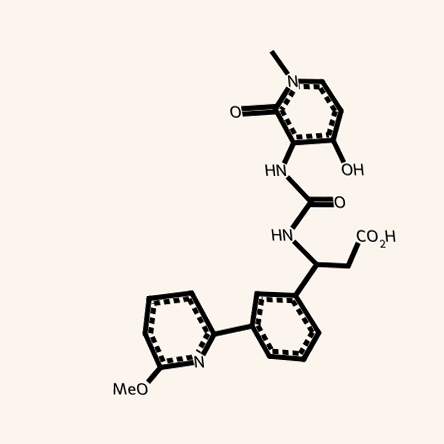 COc1cccc(-c2cccc(C(CC(=O)O)NC(=O)Nc3c(O)ccn(C)c3=O)c2)n1